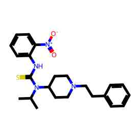 CC(C)N(C(=S)Nc1ccccc1[N+](=O)[O-])C1CCN(CCc2ccccc2)CC1